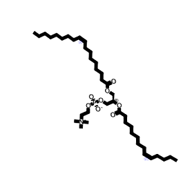 CCCC/C=C\CCCCCCCC(=O)O[C@H](COC(=O)CCCCCCC/C=C\CCCCCCCC)COP(=O)([O-])OCC[N+](C)(C)C